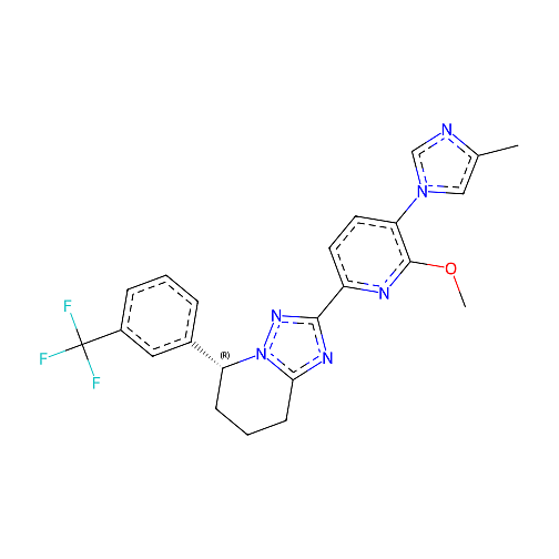 COc1nc(-c2nc3n(n2)[C@@H](c2cccc(C(F)(F)F)c2)CCC3)ccc1-n1cnc(C)c1